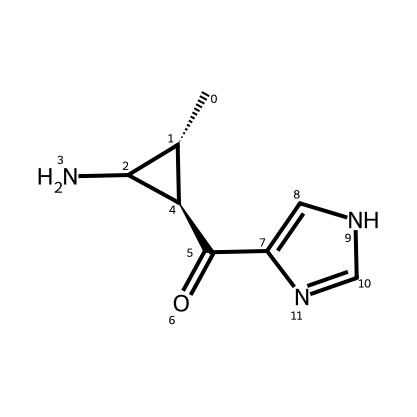 C[C@H]1C(N)[C@@H]1C(=O)c1c[nH]cn1